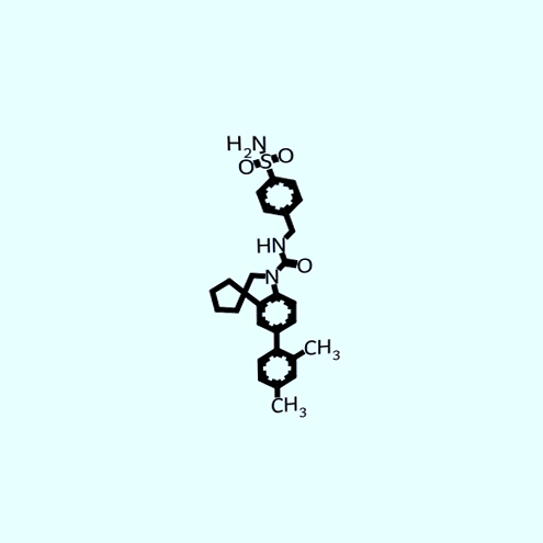 Cc1ccc(-c2ccc3c(c2)C2(CCCC2)CN3C(=O)NCc2ccc(S(N)(=O)=O)cc2)c(C)c1